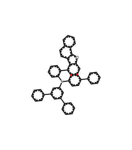 c1ccc(-c2ccc(N(c3cc(-c4ccccc4)cc(-c4ccccc4)c3)c3ccccc3-c3cccc4oc5c6ccccc6ccc5c34)cc2)cc1